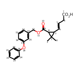 CC1(C)C(C=CCC(=O)O)C1C(=O)OCc1cccc(Oc2ccccc2)c1